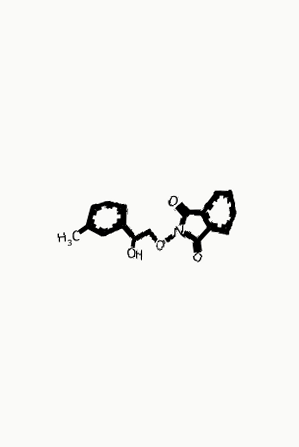 Cc1cccc(C(O)CON2C(=O)c3ccccc3C2=O)c1